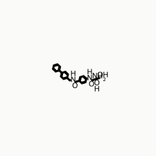 N[C@@](O)(CO)C(=O)Nc1ccc(C(=O)NCc2ccc(-c3ccccc3)cc2)cc1